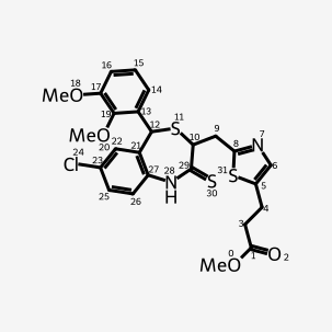 COC(=O)CCc1cnc(CC2SC(c3cccc(OC)c3OC)c3cc(Cl)ccc3NC2=S)s1